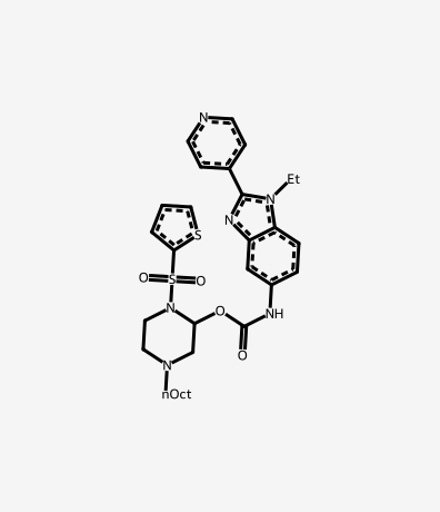 CCCCCCCCN1CCN(S(=O)(=O)c2cccs2)C(OC(=O)Nc2ccc3c(c2)nc(-c2ccncc2)n3CC)C1